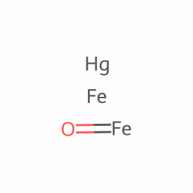 [Fe].[Hg].[O]=[Fe]